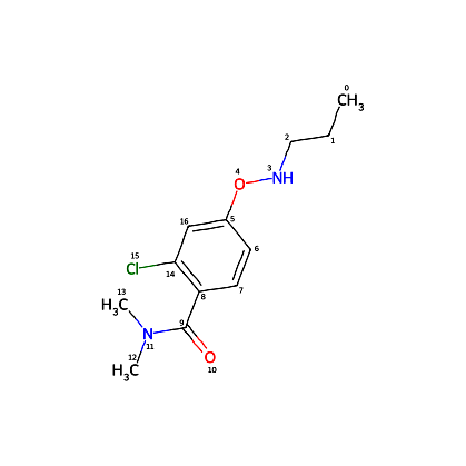 CCCNOc1ccc(C(=O)N(C)C)c(Cl)c1